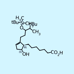 CCCCC(C)C(CCC1=CC[C@H](O)[C@@H]1CCCCCCC(=O)O)O[Si](C)(C)C(C)(C)C